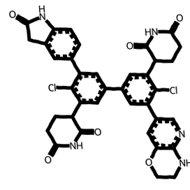 O=C1CCC(c2cc(-c3cc(-c4cnc5c(c4)OCCN5)c(Cl)c(C4CCC(=O)NC4=O)c3)cc(-c3ccc4c(c3)CC(=O)N4)c2Cl)C(=O)N1